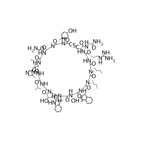 CCCC[C@H]1C(=O)N(C)[C@@H](CCCC)C(=O)N[C@@H](CCCNC(=N)N)C(=O)NC(C(=O)NCC(N)=O)CSCC(=O)N[C@@H](Cc2ccc(O)cc2)C(=O)N(C)[C@@H](C)C(=O)N[C@@H](CC(N)=O)C(=O)N[C@]2(C[C@@H]2CC)C(=O)N[C@@H](Cc2cnc[nH]2)C(=O)N[C@@H](CC(C)C)C(=O)N2C[C@H](O)C[C@H]2C(=O)N[C@@H](Cc2c[nH]c3ccccc23)C(=O)N[C@@H](CO)C(=O)N[C@@H](Cc2csc3ccccc23)C(=O)N1C